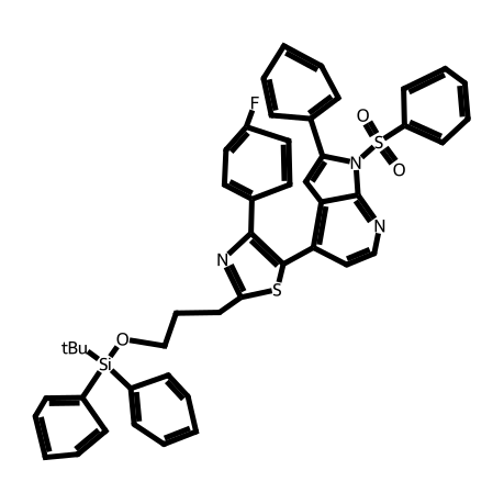 CC(C)(C)[Si](OCCCc1nc(-c2ccc(F)cc2)c(-c2ccnc3c2cc(-c2ccccc2)n3S(=O)(=O)c2ccccc2)s1)(c1ccccc1)c1ccccc1